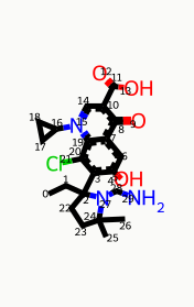 CCC1(c2c(O)cc3c(=O)c(C(=O)O)cn(C4CC4)c3c2Cl)CCC(C)(C)N1CN